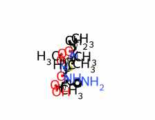 C=C[C@@H](CC)CC(=O)N(C)[C@H](C[C@@H](OC(C)=O)c1nc(C(=O)N[C@@H](Cc2ccc(N)cc2)C[C@H](C)C(=O)O)cs1)C(C)C